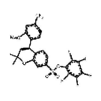 COc1cc(C(F)(F)F)ccc1C1=CC(C)(C)Oc2cc(S(=O)(=O)Oc3c(F)c(F)c(F)c(F)c3F)ccc21